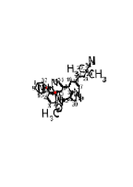 COc1ccc(CN2C3CC2CN(c2ccc(-c4cc(CCC(C)(C)C#N)cn5ncc(C#N)c45)cn2)C3)cn1